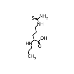 CCCN[C@@H](CCCNC(N)=S)C(=O)O